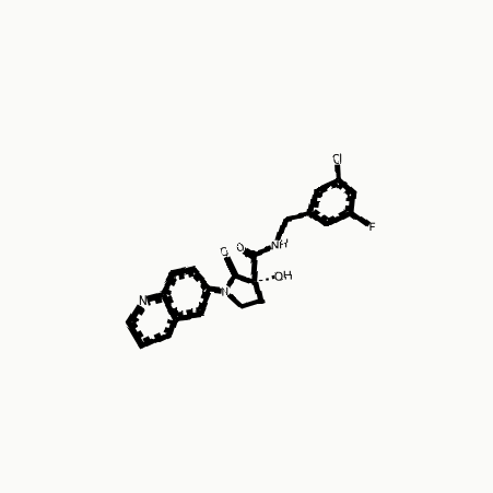 O=C(NCc1cc(F)cc(Cl)c1)[C@@]1(O)CCN(c2ccc3ncccc3c2)C1=O